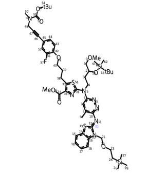 COCC(CCN(c1cc(C)c(/N=c2\sc3ccccc3n2COCC[Si](C)(C)C)nn1)c1nc(C(=O)OC)c(CCCOc2ccc(C#CCN(C)C(=O)OC(C)(C)C)cc2F)s1)O[Si](C)(C)C(C)(C)C